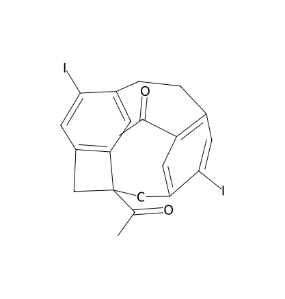 CC(=O)c1cc2c(I)cc1CCc1cc3c(cc1I)CC3(C(C)=O)C2